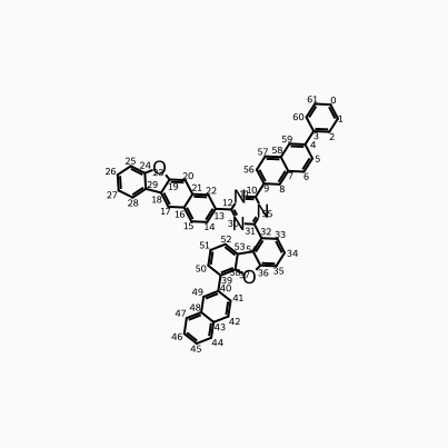 c1ccc(-c2ccc3cc(-c4nc(-c5ccc6cc7c(cc6c5)oc5ccccc57)nc(-c5cccc6oc7c(-c8ccc9ccccc9c8)cccc7c56)n4)ccc3c2)cc1